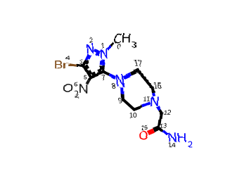 Cn1nc(Br)c([N+](=O)[O-])c1N1CCN(CC(N)=O)CC1